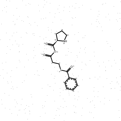 O=C(CCSC(=O)c1ccccc1)OC(=O)[C@H]1CCCN1